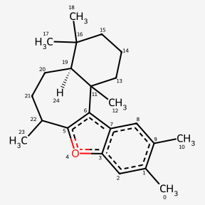 Cc1cc2oc3c(c2cc1C)C1(C)CCCC(C)(C)[C@@H]1CCC3C